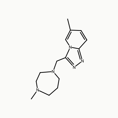 Cc1ccc2nnc(CN3CCCN(C)CC3)n2c1